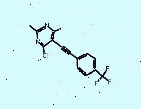 Cc1nc(C)c(C#Cc2ccc(C(F)(F)F)cc2)c(Cl)n1